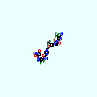 CC(F)(F)c1cc(N2C(=S)N(c3cnc(C#N)c(C(F)(F)F)c3)C(=O)C2(C)C)ccc1OCCN1CCN(CC(=O)Nc2cc(NC3CCC(=O)NC3=O)cc(F)c2F)CC1